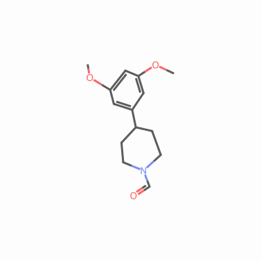 COc1cc(OC)cc(C2CCN(C=O)CC2)c1